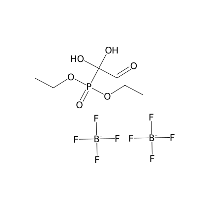 CCOP(=O)(OCC)C(O)(O)C=O.F[B-](F)(F)F.F[B-](F)(F)F